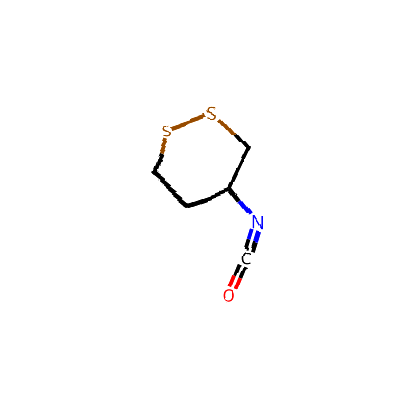 O=C=NC1CCSSC1